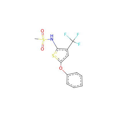 CS(=O)(=O)Nc1sc(Oc2ccccc2)cc1C(F)(F)F